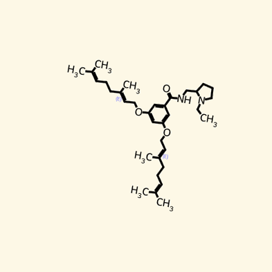 CCN1CCCC1CNC(=O)c1cc(OC/C=C(\C)CCC=C(C)C)cc(OC/C=C(\C)CCC=C(C)C)c1